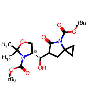 CC(C)(C)OC(=O)N1C(=O)C(C(O)[C@H]2COC(C)(C)N2C(=O)OC(C)(C)C)CC12CC2